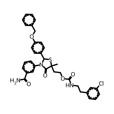 CC1(CCOC(=O)NCCc2cccc(Cl)c2)SC(c2ccc(OCc3ccccc3)cc2)N(c2cccc(C(N)=O)c2)C1=O